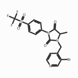 CC1C(=O)N(c2ccc(S(=O)(=O)C(F)(F)F)cc2)C(=O)N1Cc1ccncc1Br